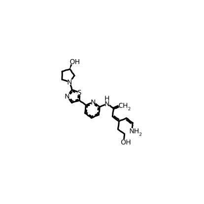 C=C(/C=C(\C=C/N)CCO)Nc1cccc(-c2cnc(N3CC[C@@H](O)C3)s2)n1